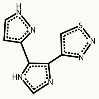 [c]1nc(-c2csnn2)c(-c2cc[nH]n2)[nH]1